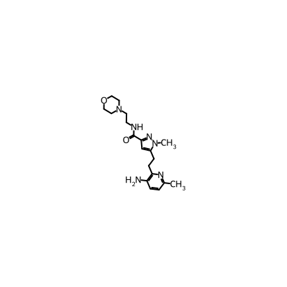 Cc1ccc(N)c(CCc2cc(C(=O)NCCN3CCOCC3)nn2C)n1